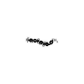 CC1CCN(Cc2ccc(C(=O)Nc3ccc(OC(=O)N4CCN(c5ccc(C(F)(F)F)cn5)CC4)nc3)cc2)CC1